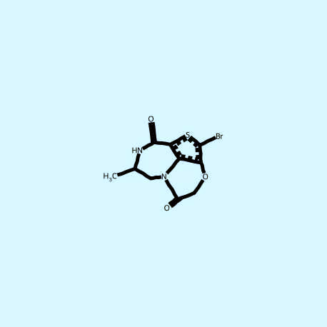 CC1CN2C(=O)COc3c(Br)sc(c32)C(=O)N1